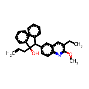 C=CCC(O)(c1ccccc1)C(c1ccccc1)c1ccc2nc(OC)c(CC)cc2c1